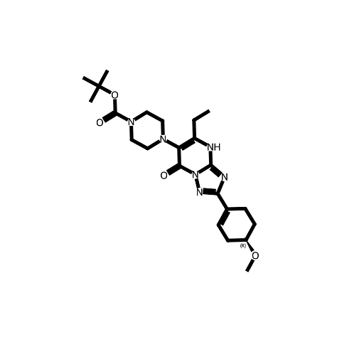 CCc1[nH]c2nc(C3=CC[C@H](OC)CC3)nn2c(=O)c1N1CCN(C(=O)OC(C)(C)C)CC1